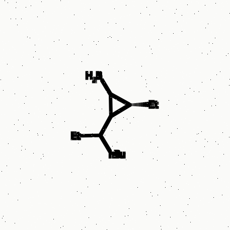 BC1C(C(CC)CCCC)[C@H]1CC